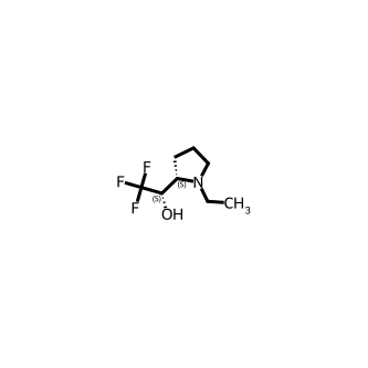 CCN1CCC[C@H]1[C@H](O)C(F)(F)F